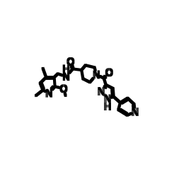 COc1nc(C)cc(C)c1CNC(=O)C1CCN(C(=O)c2cc(-c3ccncc3)[nH]n2)CC1